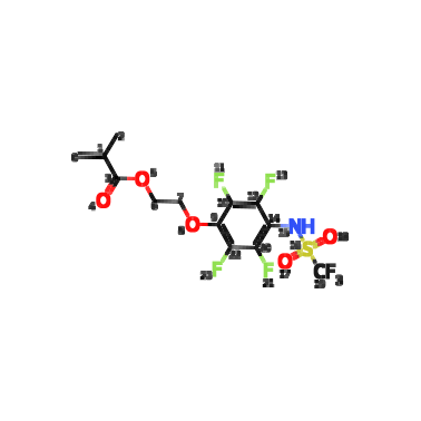 C=C(C)C(=O)OCCOc1c(F)c(F)c(NS(=O)(=O)C(F)(F)F)c(F)c1F